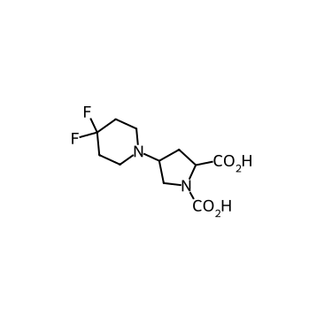 O=C(O)C1CC(N2CCC(F)(F)CC2)CN1C(=O)O